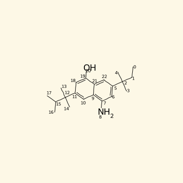 CCC(C)(C)c1cc(N)c2cc(C(C)(C)C(C)C)cc(O)c2c1